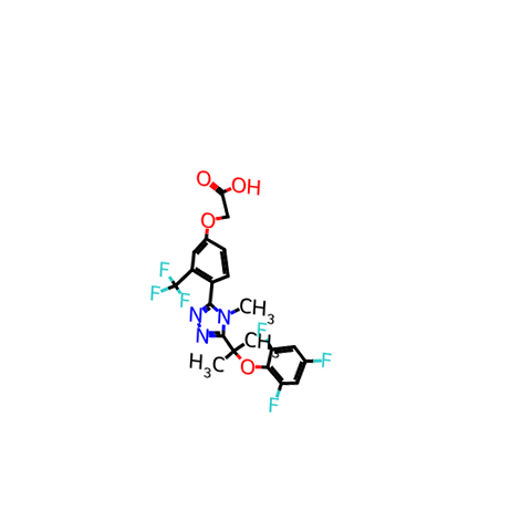 Cn1c(-c2ccc(OCC(=O)O)cc2C(F)(F)F)nnc1C(C)(C)Oc1c(F)cc(F)cc1F